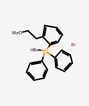 CCCC[P+](c1ccccc1)(c1ccccc1)c1ccccc1CCOC.[Br-]